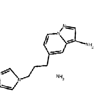 N.Nc1cnn2ccc(CCCn3ccnc3)cc12